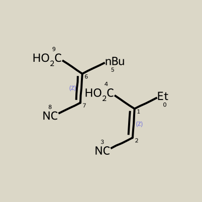 CC/C(=C/C#N)C(=O)O.CCCC/C(=C/C#N)C(=O)O